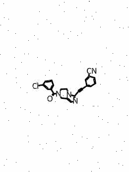 N#Cc1cccc(C#Cc2ncc3n2CCN(C(=O)c2cccc(Cl)c2)C3)c1